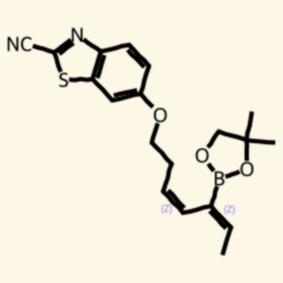 C/C=C(\C=C/CCOc1ccc2nc(C#N)sc2c1)B1OCC(C)(C)O1